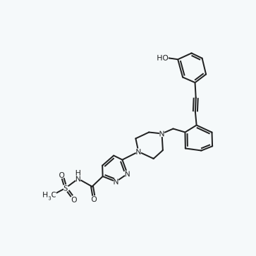 CS(=O)(=O)NC(=O)c1ccc(N2CCN(Cc3ccccc3C#Cc3cccc(O)c3)CC2)nn1